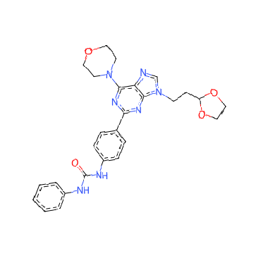 O=C(Nc1ccccc1)Nc1ccc(-c2nc(N3CCOCC3)c3ncn(CCC4OCCO4)c3n2)cc1